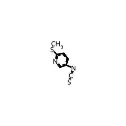 CSc1ccc(N=C=S)cn1